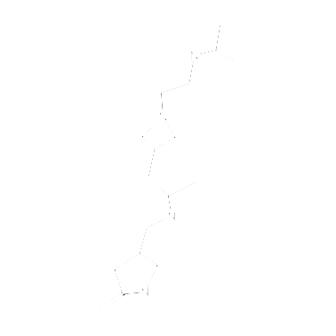 CC(C)NCCN1CC(CC(C)NCC2CNC(=O)C2)C1